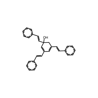 OC1(C=Cc2ccccc2)C=C(C=Cc2ccccc2)C=C(C=Cc2ccccc2)C1